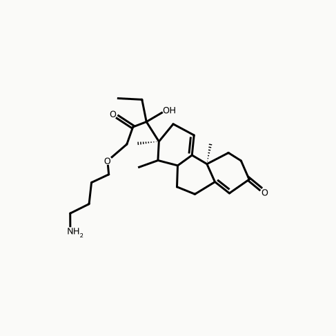 CCC(O)(C(=O)COCCCCN)[C@@]1(C)CC=C2C(CCC3=CC(=O)CC[C@@]32C)C1C